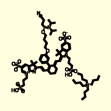 CC(C)N(C(C)C)P(CCC#N)OCCCCOc1cccc(C2=C(C=CC3=Nc4c(cc(S(=O)(=O)[O-])c[n+]4CCCS(=O)(=O)O)C3(C)C)CCCC2=CC=C2N(CCCS(=O)(=O)O)c3ccc(S(=O)(=O)[O-])cc3C2(C)C)c1.CCCC[N+](CCCC)(CCCC)CCCC